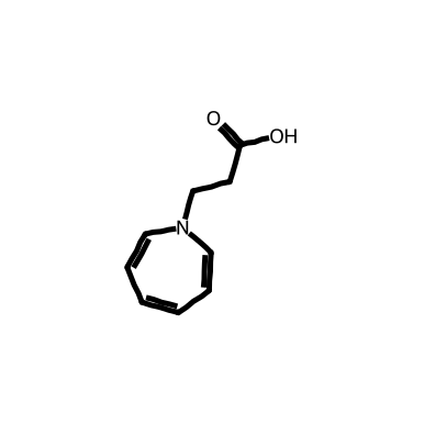 O=C(O)CCN1C=CC=CC=C1